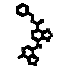 Cc1ncc(Pc2cnc(C(=O)OCc3ccccc3)c3nsnc23)c2nsnc12